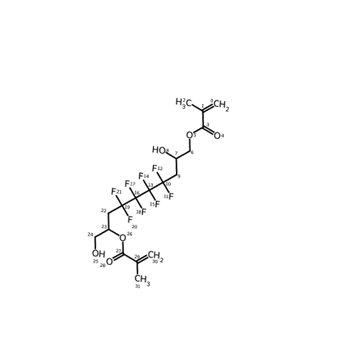 C=C(C)C(=O)OCC(O)CC(F)(F)C(F)(F)C(F)(F)C(F)(F)CC(CO)OC(=O)C(=C)C